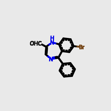 O=CC1=CN=C(c2ccccc2)c2cc(Br)ccc2N1